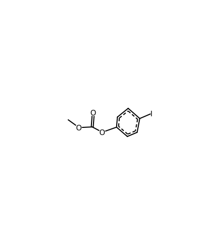 COC(=O)Oc1ccc(I)cc1